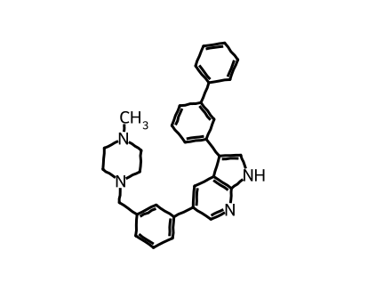 CN1CCN(Cc2cccc(-c3cnc4[nH]cc(-c5cccc(-c6ccccc6)c5)c4c3)c2)CC1